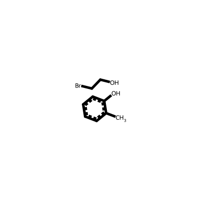 Cc1ccccc1O.OCCBr